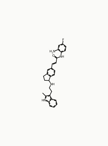 Cc1[nH]c2ccccc2c1CCNC1CCc2cc(/C=C/C(=O)Nc3ccc(F)cc3N)ccc21